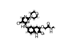 CNC(=O)COc1cc2cc(Nc3nc(N4CCOCC4)ncc3Cl)ccc2[nH]c1=O